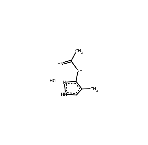 CC(=N)Nc1n[nH]cc1C.Cl